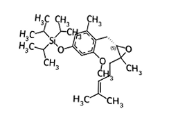 COc1cc(O[Si](C(C)C)(C(C)C)C(C)C)cc(C)c1C[C@@H]1OC1(C)CCC=C(C)C